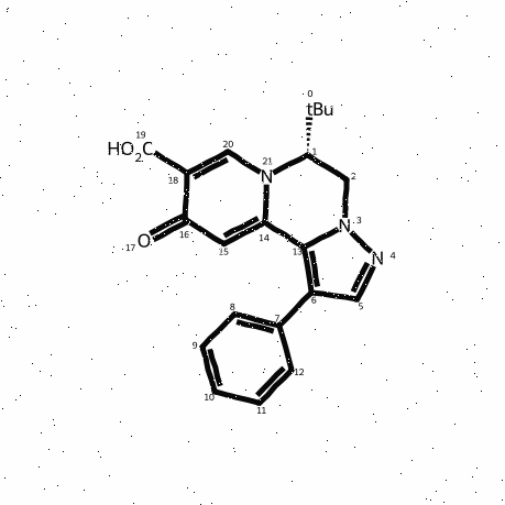 CC(C)(C)[C@@H]1Cn2ncc(-c3ccccc3)c2-c2cc(=O)c(C(=O)O)cn21